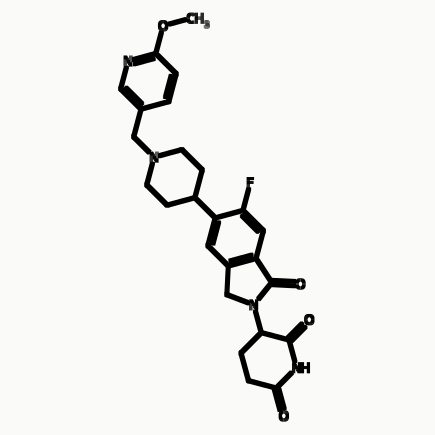 COc1ccc(CN2CCC(c3cc4c(cc3F)C(=O)N(C3CCC(=O)NC3=O)C4)CC2)cn1